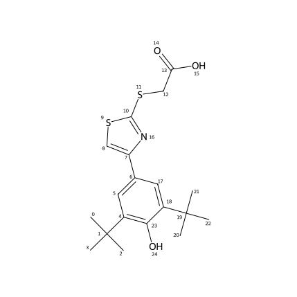 CC(C)(C)c1cc(-c2csc(SCC(=O)O)n2)cc(C(C)(C)C)c1O